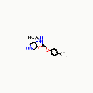 O=C(COc1ccc(C(F)(F)F)cc1)NN(C(=O)O)C1CCNCC1